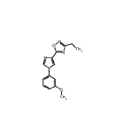 CCc1noc(-c2cn(-c3cccc(OC)c3)cn2)n1